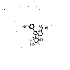 CN1C(=N)N[C@](C)(c2cc(-c3cccc(C#N)c3)cs2)[C@H](C2CCN(C(=O)C3CC3)CC2)C1=O